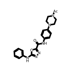 CC(=O)N1CCN(c2ccc(NC(=O)c3nnc(Nc4ccccc4)o3)cc2)CC1